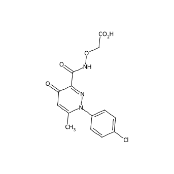 Cc1cc(=O)c(C(=O)NOCC(=O)O)nn1-c1ccc(Cl)cc1